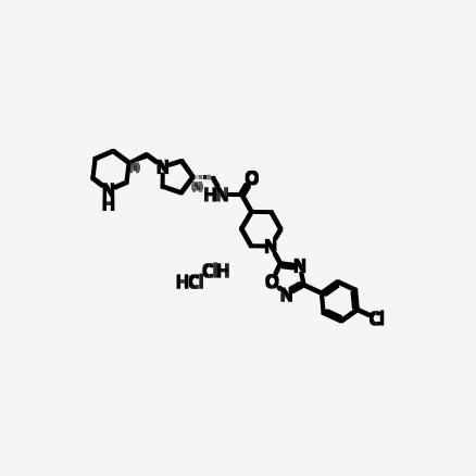 Cl.Cl.O=C(NC[C@@H]1CCN(C[C@@H]2CCCNC2)C1)C1CCN(c2nc(-c3ccc(Cl)cc3)no2)CC1